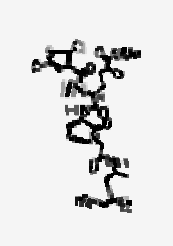 CCCC(CC)CC(C)NC(=O)Cn1cccc(NC(=O)[C@H](CCC(=O)C(=O)NC)NC(=O)c2cc(Cl)sc2Cl)c1=O